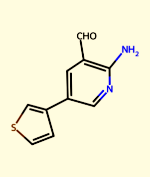 Nc1ncc(-c2ccsc2)cc1C=O